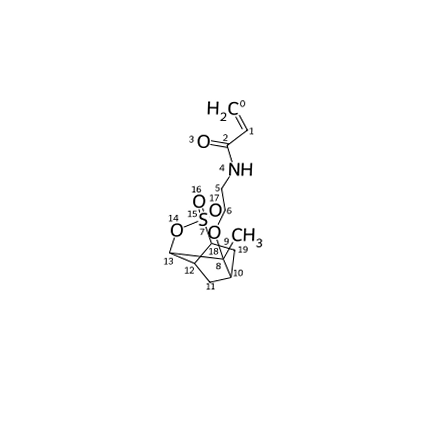 C=CC(=O)NCCOC1(C)C2CC3C1OS(=O)(=O)C3C2